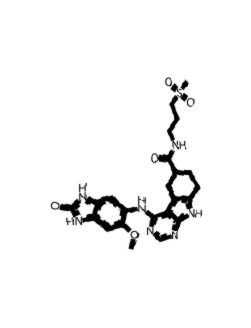 COc1cc2[nH]c(=O)[nH]c2cc1Nc1ncnc2[nH]c3c(c12)CC(C(=O)NCCCS(C)(=O)=O)CC3